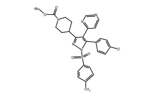 Cc1ccc(S(=O)(=O)n2nc(C3CCN(C(=O)OC(C)(C)C)CC3)c(-c3ccncn3)c2-c2ccc(Cl)cc2)cc1